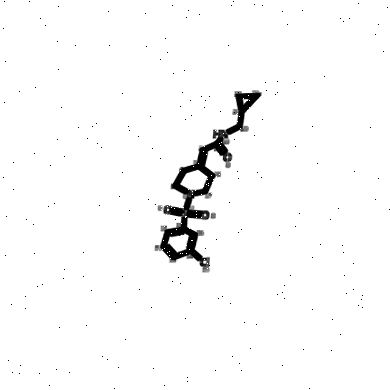 O=C(C=C1CCN(S(=O)(=O)c2cccc(Cl)c2)CC1)NCC1CC1